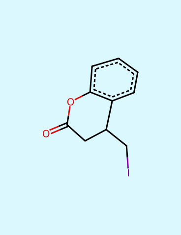 O=C1CC(CI)c2ccccc2O1